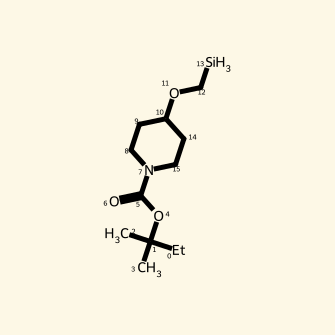 CCC(C)(C)OC(=O)N1CCC(OC[SiH3])CC1